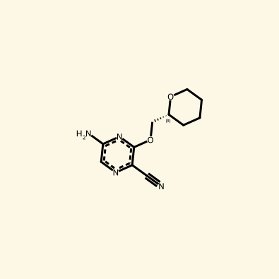 N#Cc1ncc(N)nc1OC[C@H]1CCCCO1